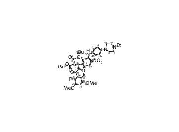 CCN1CCN(c2ccc(Nc3cc4c(N(C(=O)OC(C)(C)C)C(=O)OC(C)(C)C)c(C(=O)c5c(F)c(OC)cc(OC)c5F)oc4cn3)c([N+](=O)[O-])c2)CC1